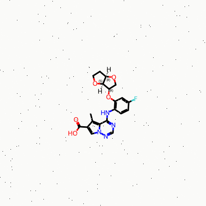 Cc1c(C(=O)O)cn2ncnc(Nc3ccc(F)cc3O[C@@H]3CO[C@@H]4CCO[C@@H]43)c12